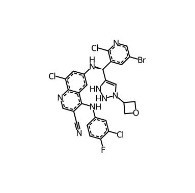 N#Cc1cnc2c(Cl)cc(N[C@H](C3=CN(C4COC4)NN3)c3cc(Br)cnc3Cl)cc2c1Nc1ccc(F)c(Cl)c1